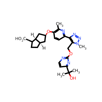 Cc1nc(-c2nnn(C)c2COc2nccc(C(C)(C)O)n2)ccc1O[C@H]1C[C@H]2CCC(C(=O)O)[C@H]2C1